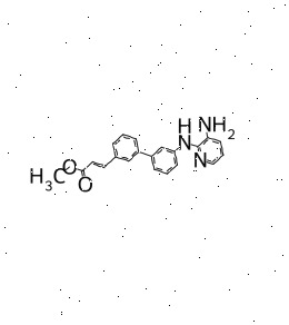 COC(=O)/C=C/c1cccc(-c2cccc(Nc3ncccc3N)c2)c1